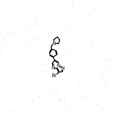 Brc1cnn2cc(-c3ccc(CN4CCCC4)cc3)cnc12